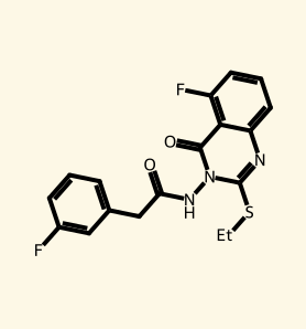 CCSc1nc2cccc(F)c2c(=O)n1NC(=O)Cc1cccc(F)c1